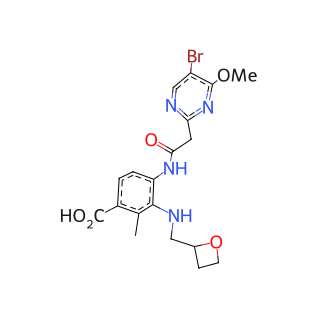 COc1nc(CC(=O)Nc2ccc(C(=O)O)c(C)c2NCC2CCO2)ncc1Br